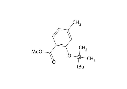 COC(=O)c1ccc(C)cc1O[Si](C)(C)C(C)(C)C